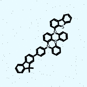 CC1(C)c2ccccc2-c2ccc(-c3ccc(N4c5ccccc5B5c6ccccc6N(c6cccc7c6sc6ccccc67)c6cccc4c65)cc3)cc21